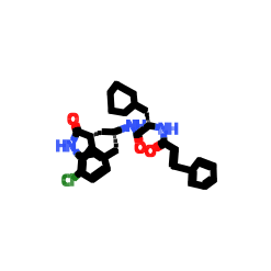 O=C(C=Cc1ccccc1)N[C@@H](CC1CCCCC1)C(=O)N[C@H](Cc1ccc(Cl)cc1)C[C@@H]1CCNC1=O